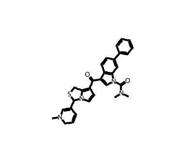 CN1C=C(C2SCc3c(C(=O)c4cn(C(=O)N(C)C)c5cc(-c6ccccc6)ccc45)ccn32)C=CC1